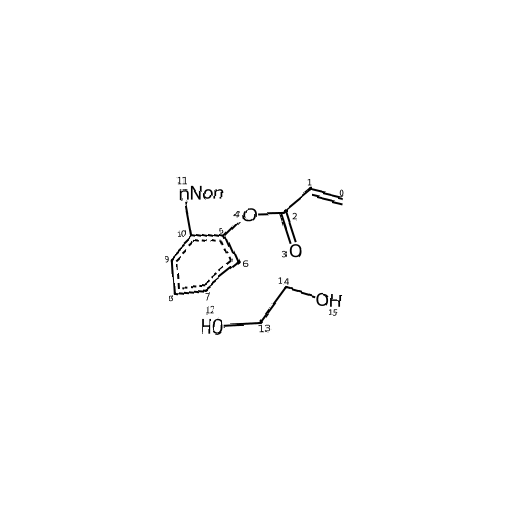 C=CC(=O)Oc1ccccc1CCCCCCCCC.OCCO